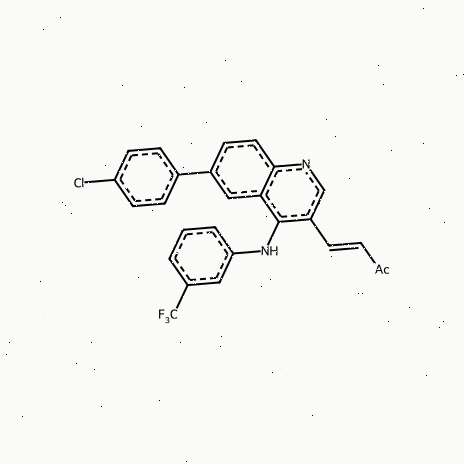 CC(=O)/C=C/c1cnc2ccc(-c3ccc(Cl)cc3)cc2c1Nc1cccc(C(F)(F)F)c1